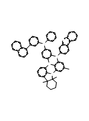 Cc1cc2c3c(c1)N1c4c(cccc4C4(C)CCCCC14C)B3c1ccc(N(c3ccccc3)c3cccc(-c4cccc5ccccc45)c3)cc1N2c1ccc2c(c1)oc1ccccc12